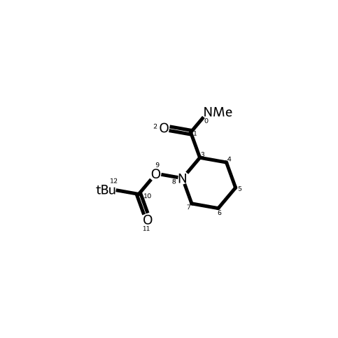 CNC(=O)C1CCCCN1OC(=O)C(C)(C)C